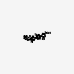 CC(C)(C)[Si](C)(C)O[C@H]1[C@@H]2CN(c3ccc(N4C[C@H](CO)OC4=O)cc3F)C[C@@H]21